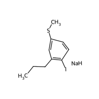 CCCc1cc(SC)ccc1I.[NaH]